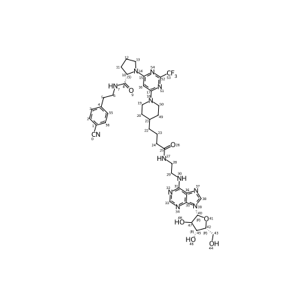 N#Cc1ccc(CCNC(=O)[C@@H]2CCCN2c2cc(N3CCC(CCCC(=O)NCCNc4ncnc5c4ncn5[C@@H]4O[C@H](CO)[C@H](O)C4O)CC3)nc(C(F)(F)F)n2)cc1